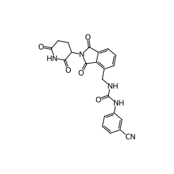 N#Cc1cccc(NC(=O)NCc2cccc3c2C(=O)N(C2CCC(=O)NC2=O)C3=O)c1